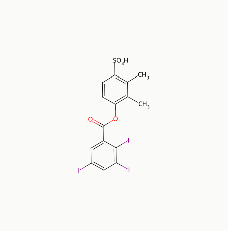 Cc1c(OC(=O)c2cc(I)cc(I)c2I)ccc(S(=O)(=O)O)c1C